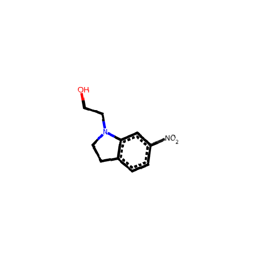 O=[N+]([O-])c1ccc2c(c1)N(CCO)CC2